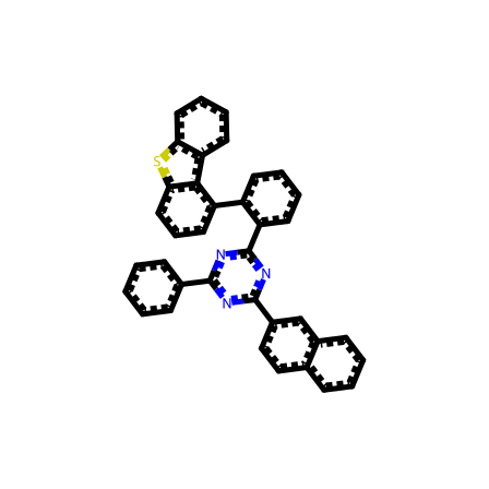 c1ccc(-c2nc(-c3ccc4ccccc4c3)nc(-c3ccccc3-c3cccc4sc5ccccc5c34)n2)cc1